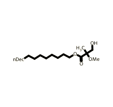 CCCCCCCCCCCCCCCCCCOC(=O)C(C)(CO)OC